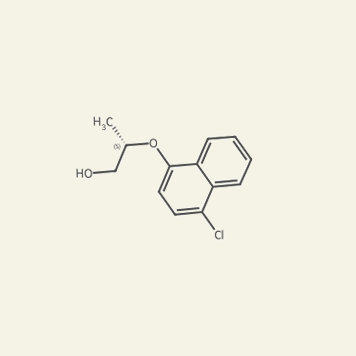 C[C@@H](CO)Oc1ccc(Cl)c2ccccc12